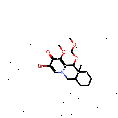 COCOC1c2c(OC)c(=O)c(Br)cn2CC2CCCCC21C